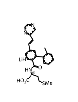 CSCC[C@H](NC(=O)c1ccc(C=Cc2cnccn2)cc1-c1ccccc1C)C(=O)O.[LiH]